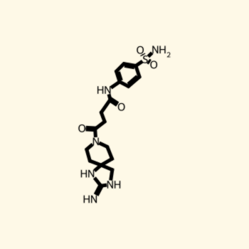 N=C1NCC2(CCN(C(=O)CCC(=O)Nc3ccc(S(N)(=O)=O)cc3)CC2)N1